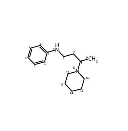 CC(CCNc1ccccc1)N1CCCCC1